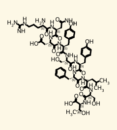 CC(C)C[C@H](NC(=O)[C@H](Cc1ccccc1)NC(=O)[C@H](Cc1ccc(O)cc1)NC(=O)[C@H](CO)NC(=O)[C@H](Cc1ccc(O)cc1)NC(=O)[C@H](CC(=O)O)NC(=O)[C@H](CC(N)=O)NC(=O)[C@@H](N)CCCNC(=N)N)C(=O)N[C@@H](CO)C(=O)N[C@H](C(=O)O)[C@@H](C)O